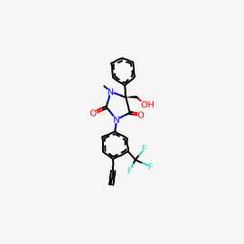 C#Cc1ccc(N2C(=O)N(C)[C@](CO)(c3ccccc3)C2=O)cc1C(F)(F)F